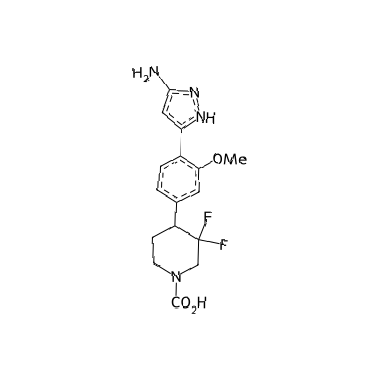 COc1cc(C2CCN(C(=O)O)CC2(F)F)ccc1-c1cc(N)n[nH]1